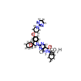 CC1CC2CC(C1)C(NC(=O)c1cnc(N3CC4(CC5CCC(C4)O5)c4cc(OC5CCN(c6ncccn6)CC5)ccc43)nc1C(F)(F)F)(C(=O)O)C2